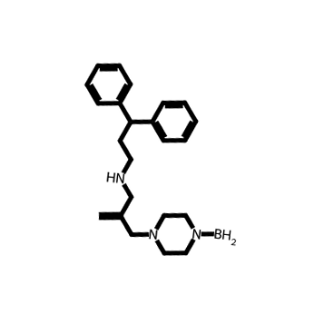 BN1CCN(CC(=C)CNCCC(c2ccccc2)c2ccccc2)CC1